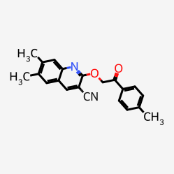 Cc1ccc(C(=O)COc2nc3cc(C)c(C)cc3cc2C#N)cc1